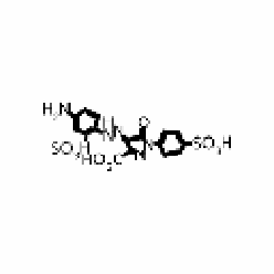 Nc1ccc(N/N=C2/C(=O)N(c3ccc(S(=O)(=O)O)cc3)N=C2C(=O)O)c(S(=O)(=O)O)c1